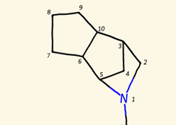 CN1CC2CC1C1CCCC21